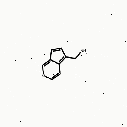 NCc1ccc2coccc1-2